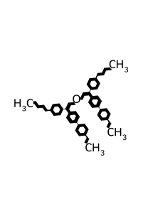 CCCCC[C@H]1CC[C@H](C(=CCOCC=C(c2ccc([C@H]3CC[C@H](CCC)CC3)cc2)[C@H]2CC[C@H](CCCCC)CC2)c2ccc([C@H]3CC[C@H](CCC)CC3)cc2)CC1